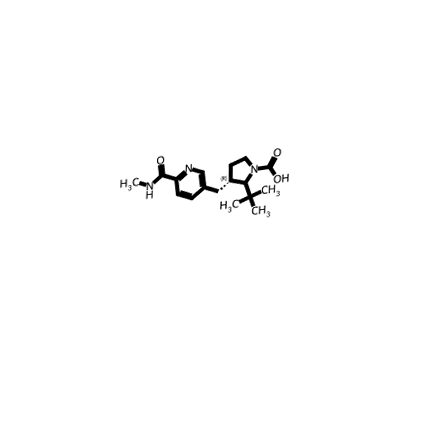 CNC(=O)c1ccc(C[C@@H]2CCN(C(=O)O)C2C(C)(C)C)cn1